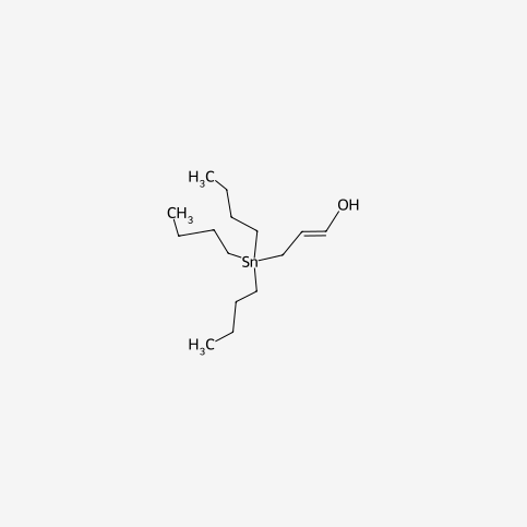 CCC[CH2][Sn]([CH2]/C=C/O)([CH2]CCC)[CH2]CCC